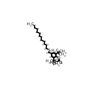 CCCCCCCCCCCCCSCc1cc(C(C)(C)C)c(OC(C)=O)c(C(C)(C)C)c1